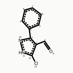 O=Cc1c(-c2ccccc2)n[nH]c1Cl